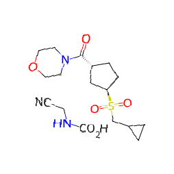 N#CCNC(=O)O.O=C([C@@H]1CC[C@@H](S(=O)(=O)CC2CC2)C1)N1CCOCC1